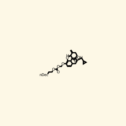 C=C1CC[C@@]2(O)C3CC4C=CC(OCOC(=O)OCCCCCCCCCCCC)=C5O[C@@H]1[C@]2(CCN3CC1CC1)C54